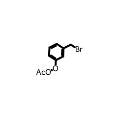 CC(=O)OOc1cccc(CBr)c1